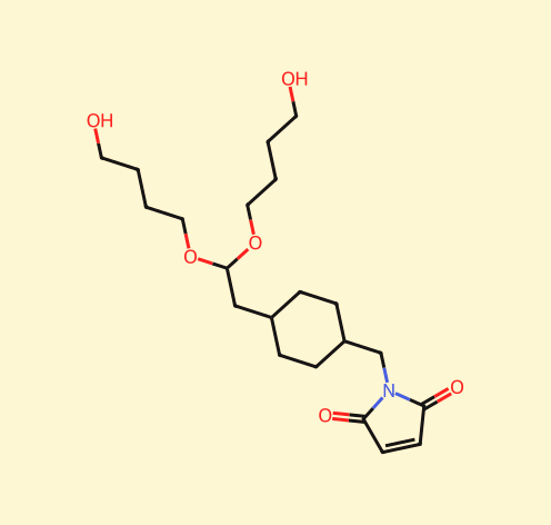 O=C1C=CC(=O)N1CC1CCC(CC(OCCCCO)OCCCCO)CC1